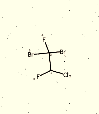 FC(Cl)C(F)(Br)Br